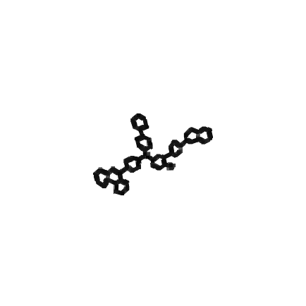 Brc1ccc(N(c2ccc(-c3ccccc3)cc2)c2ccc(-c3cc4ccccc4c4ccccc34)cc2)cc1-c1ccc(-c2ccc3ccccc3c2)cc1